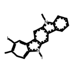 CC1=C(I)C=c2c(n(I)c3cc4c5ccccc5n(C)c4cc23)=CC1